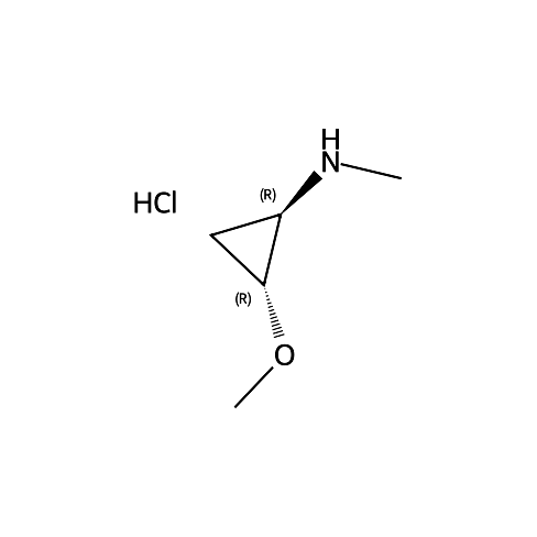 CN[C@@H]1C[C@H]1OC.Cl